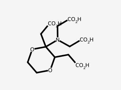 O=C(O)CC1OCCOC1(CC(=O)O)N(CC(=O)O)CC(=O)O